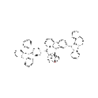 c1ccc(N(c2ccc(C3(c4ccccc4)c4ccccc4-c4ccccc43)cc2)c2cccc3c4ccc(-n5c6ccccc6c6ccc7ccccc7c65)cc4n(-c4ccccc4)c23)cc1